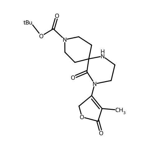 CC1=C(N2CCNC3(CCN(C(=O)OC(C)(C)C)CC3)C2=O)COC1=O